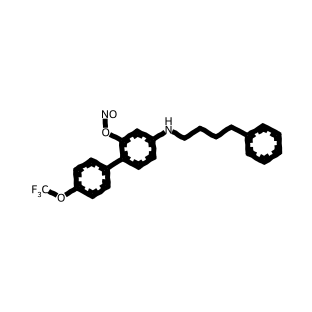 O=NOc1cc(NCCCCc2ccccc2)ccc1-c1ccc(OC(F)(F)F)cc1